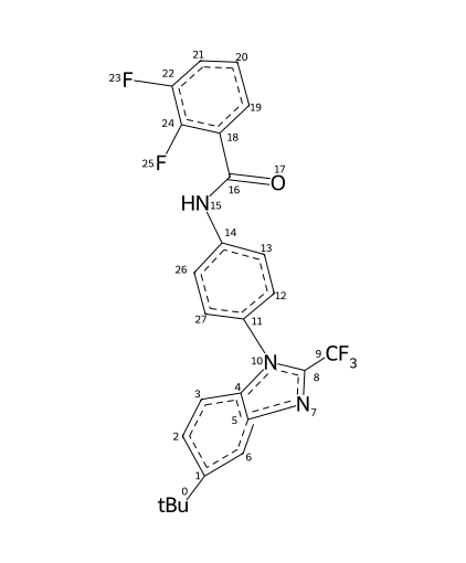 CC(C)(C)c1ccc2c(c1)nc(C(F)(F)F)n2-c1ccc(NC(=O)c2cccc(F)c2F)cc1